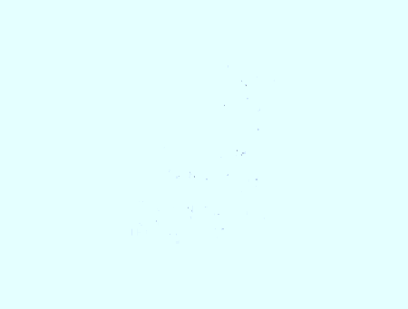 Cc1c(O)c(C=NC2CCC(N(C)C)CC2)c2nc3c(O)ccc(C(=O)O)c3nc2c1O